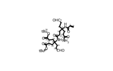 C=CC(=O)NC(CCC=O)(CCC(N)=O)CCC(=O)NC(CCC=O)(CCC(=O)OC(C)(C)C)CCC(=O)OC(C)(C)C